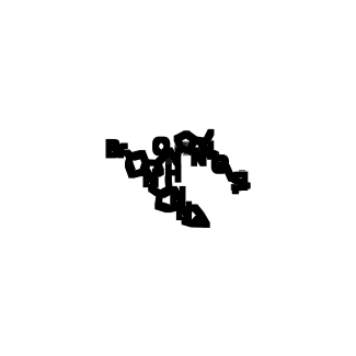 Cc1nc(N2CC3CC3C2)ccc1Cn1cc(C(=O)N[C@@H]2CCc3c2nn(COCC[Si](C)(C)C)c3C)c2cc(Br)ccc21